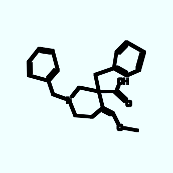 COC=C1CCN(Cc2ccccc2)CC1(Cc1ccccc1)C(=O)O